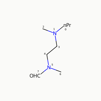 CCCN(C)CCN(C)C=O